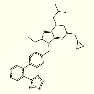 CCC1N=C2C(=CN(CC3CC3)CN2CC(C)C)N1Cc1ccc(-c2ccccc2-c2nnn[nH]2)cc1